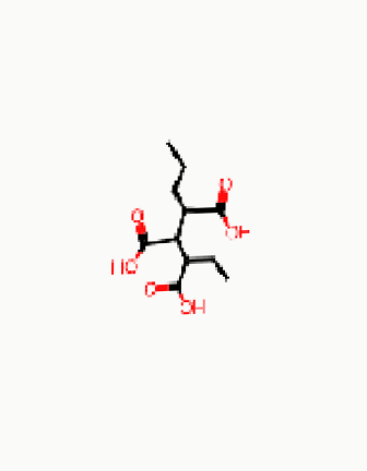 CCCC(C(=O)O)C(C(=O)O)C(CC)C(=O)O